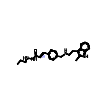 CCCNNC(=O)/C=C/c1ccc(CNCCc2c(C)[nH]c3ccccc23)cc1